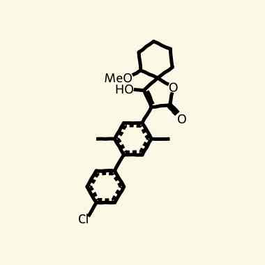 COC1CCCCC12OC(=O)C(c1cc(C)c(-c3ccc(Cl)cc3)cc1C)=C2O